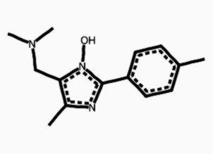 Cc1ccc(-c2nc(C)c(CN(C)C)n2O)cc1